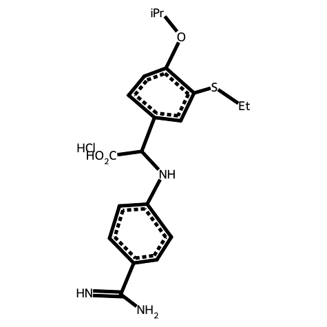 CCSc1cc(C(Nc2ccc(C(=N)N)cc2)C(=O)O)ccc1OC(C)C.Cl